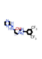 OC(/C=C\n1cnc(-c2cc(C(F)(F)F)cc(C(F)(F)F)c2)n1)NNc1cnccn1